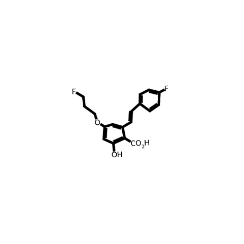 O=C(O)c1c(O)cc(OCCCF)cc1C=Cc1ccc(F)cc1